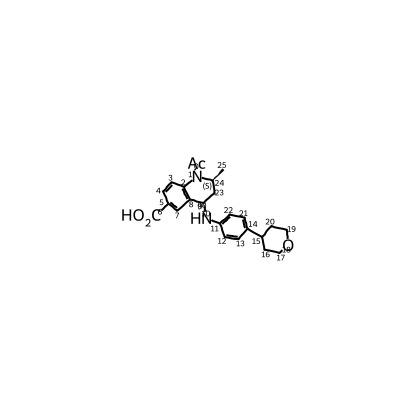 CC(=O)N1c2ccc(C(=O)O)cc2[C@H](Nc2ccc(C3CCOCC3)cc2)C[C@@H]1C